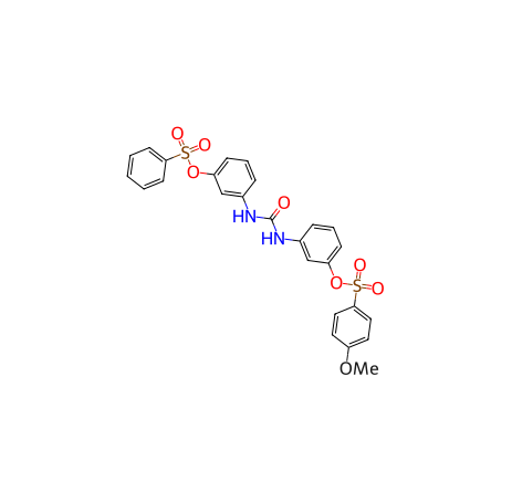 COc1ccc(S(=O)(=O)Oc2cccc(NC(=O)Nc3cccc(OS(=O)(=O)c4ccccc4)c3)c2)cc1